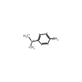 Bc1ccc(N(C)C)cc1